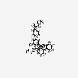 CC(c1ccc(N2CCN(C(=O)CC#N)CC2)cc1F)N1CCCC(c2ccccc2)S1(=O)=O